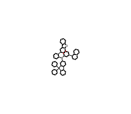 c1ccc(C2(c3ccccc3)c3ccccc3-c3ccc(N(c4cccc(-c5cccc6ccccc56)c4)c4ccccc4-c4ccc5oc6ccccc6c5c4)cc32)cc1